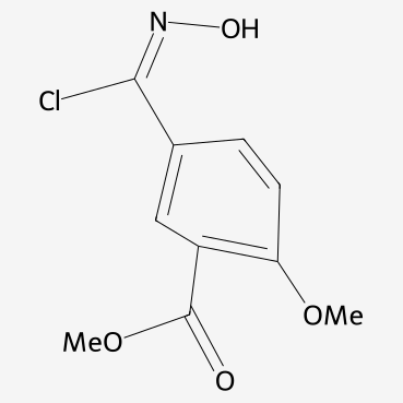 COC(=O)c1cc(/C(Cl)=N\O)ccc1OC